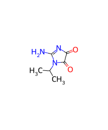 CC(C)N1C(=O)C(=O)N=C1N